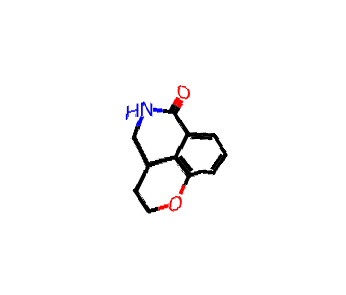 O=C1NCC2CCOc3cccc1c32